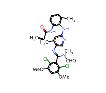 C=CC(=O)Nc1cccc(C)c1Nc1cc(C)c(/N=C(/c2c(Cl)c(OC)cc(OC)c2Cl)N(C)C=O)cn1